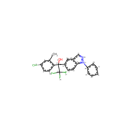 Cc1cc(Cl)ccc1C(O)(c1ccc2c(cnn2-c2ccccc2)c1)C(F)(F)F